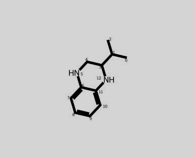 CC(C)C1CNc2ccccc2N1